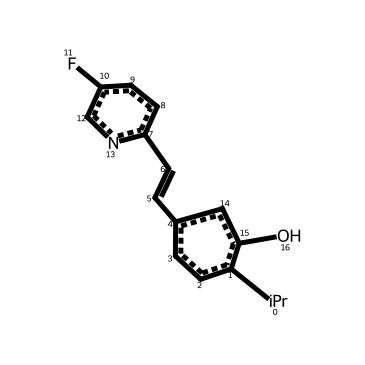 CC(C)c1ccc(/C=C/c2ccc(F)cn2)cc1O